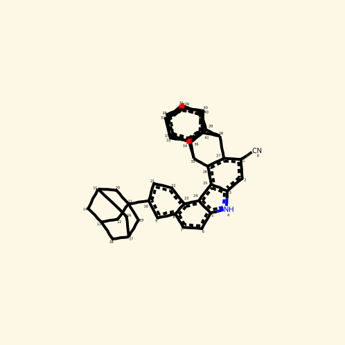 N#Cc1cc2[nH]c3ccc4cc(C56CC7CC(CC(C7)C5)C6)ccc4c3c2c2c1C1c3ccccc3C2c2ccccc21